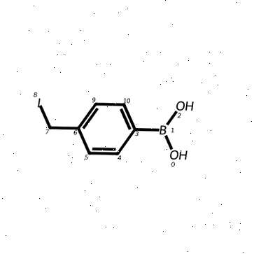 OB(O)c1ccc(CI)cc1